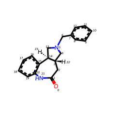 O=C1C[C@H]2CN(Cc3ccccc3)C[C@@H]2c2ccccc2N1